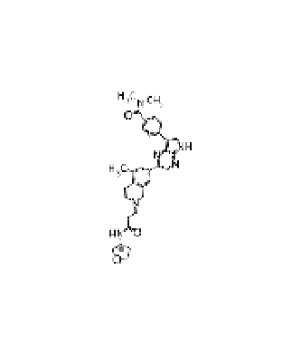 Cc1cc(-c2cnc3[nH]cc(-c4ccc(C(=O)N(C)C)cc4)c3n2)cc2c1CCN(CCC(=O)N[C@@H]1CCOC1)C2